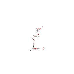 Cc1cccc2c(OC(=O)N(C)CCN(C)C(=O)OCc3ccc(NC(=O)[C@H](CCCNC(N)=O)NC(=O)[C@@H](NC(=O)OCCOCCN4C(=O)C=CC4=O)C(C)C)cc3)cc3c(c12)[C@H](CCl)CN3C(=O)c1cc2cc(NC(=O)c3ccc(O)cc3)cnc2[nH]1